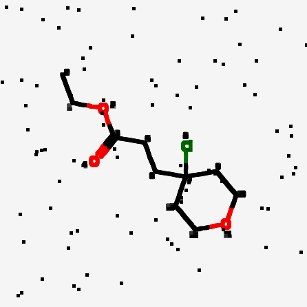 CCOC(=O)CCC1(Cl)CCOCC1